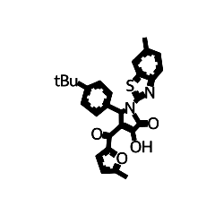 Cc1ccc2nc(N3C(=O)C(O)=C(C(=O)c4ccc(C)o4)C3c3ccc(C(C)(C)C)cc3)sc2c1